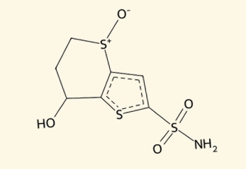 NS(=O)(=O)c1cc2c(s1)C(O)CC[S+]2[O-]